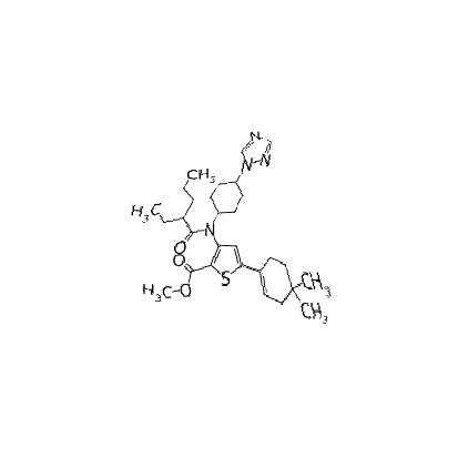 CCCC(CC)C(=O)N(c1cc(C2=CCC(C)(C)CC2)sc1C(=O)OC)C1CCC(n2cncn2)CC1